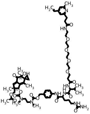 C=Cc1cc(C)nc(CCC(=O)NCCOCCOCCOCCOCCC(=O)NC(C(=O)NC(CCCNC(N)=O)C(=O)Nc2ccc(COC(=O)N(C)CCN(C)C(=O)O[C@H]3C4=C(C)C5(CC5)[C@@](C)(O)C(=O)C4=C[C@@]3(C)COC(C)=O)cc2)C(C)C)c1